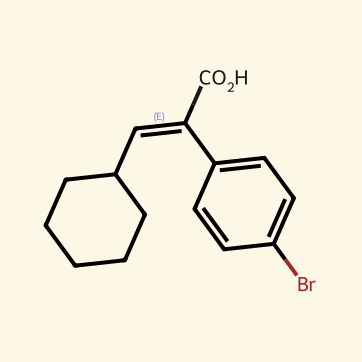 O=C(O)/C(=C/C1CCCCC1)c1ccc(Br)cc1